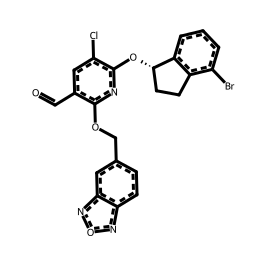 O=Cc1cc(Cl)c(O[C@H]2CCc3c(Br)cccc32)nc1OCc1ccc2nonc2c1